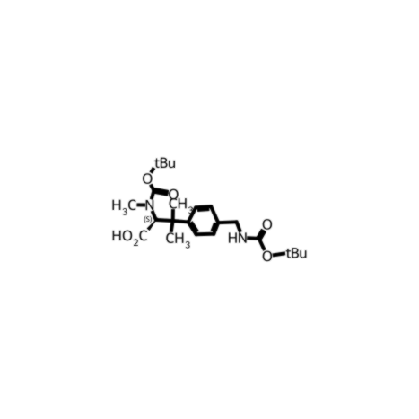 CN(C(=O)OC(C)(C)C)[C@H](C(=O)O)C(C)(C)c1ccc(CNC(=O)OC(C)(C)C)cc1